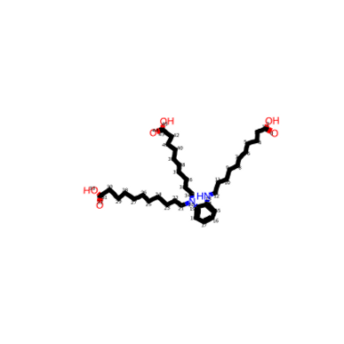 O=C(O)CCCCCCCCCCNc1ccccc1N(CCCCCCCCCCC(=O)O)CCCCCCCCCC(=O)O